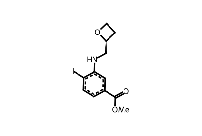 COC(=O)c1ccc(I)c(NC[C@@H]2CCO2)c1